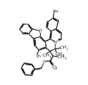 CC(C)c1ccc2c3[n+](ccc2c1)C(C)(C)C(C)(C(C)C(=O)OCc1ccccc1)c1c(C(C)C)cc2c(oc4ccccc42)c1-3